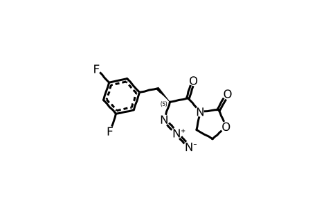 [N-]=[N+]=N[C@@H](Cc1cc(F)cc(F)c1)C(=O)N1CCOC1=O